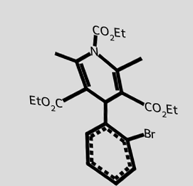 CCOC(=O)C1=C(C)N(C(=O)OCC)C(C)=C(C(=O)OCC)C1c1ccccc1Br